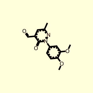 COc1ccc(-n2nc(C)cc(C=O)c2=O)cc1OC